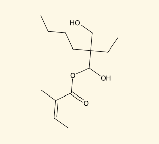 CC=C(C)C(=O)OC(O)C(CC)(CO)CCCC